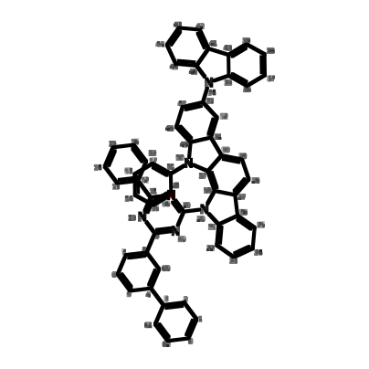 c1ccc(-c2cccc(-c3nc(-c4ccccc4)nc(-n4c5ccccc5c5ccc6c7cc(-n8c9ccccc9c9ccccc98)ccc7n(-c7ccccc7)c6c54)n3)c2)cc1